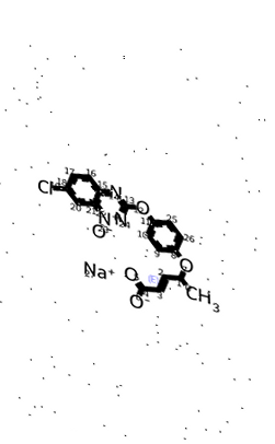 CC(/C=C/C(=O)[O-])Oc1ccc(Oc2nc3ccc(Cl)cc3[n+]([O-])n2)cc1.[Na+]